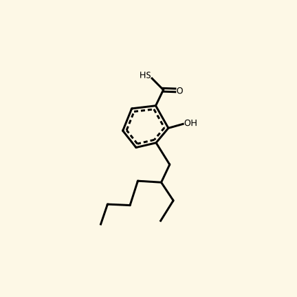 CCCCC(CC)Cc1cccc(C(=O)S)c1O